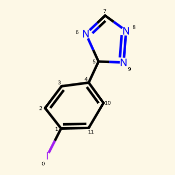 Ic1ccc([C]2N=CN=N2)cc1